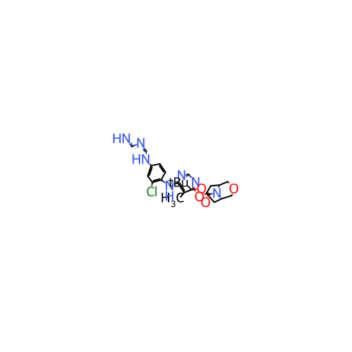 Cc1c(Nc2ccc(N/C=N\C=N)cc2Cl)ncnc1OC1CC2COCC(C1)N2C(=O)OCC(C)(C)C